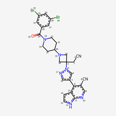 N#CCC1(n2cc(-c3c(C#N)cnc4[nH]ccc34)cn2)CN(C2CCN(C(=O)c3cc(Br)cc(Br)c3)CC2)C1